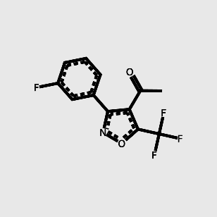 CC(=O)c1c(-c2cccc(F)c2)noc1C(F)(F)F